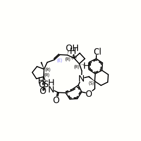 C[C@@]12C/C=C/[C@H](O)[C@@H]3CC[C@H]3CN3C[C@@]4(CCCc5cc(Cl)ccc54)COc4ccc(cc43)C(=O)NS(=O)(=O)[C@@H]1CCC2